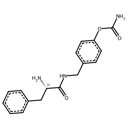 NC(=O)Oc1ccc(CNC(=O)[C@@H](N)Cc2ccccc2)cc1